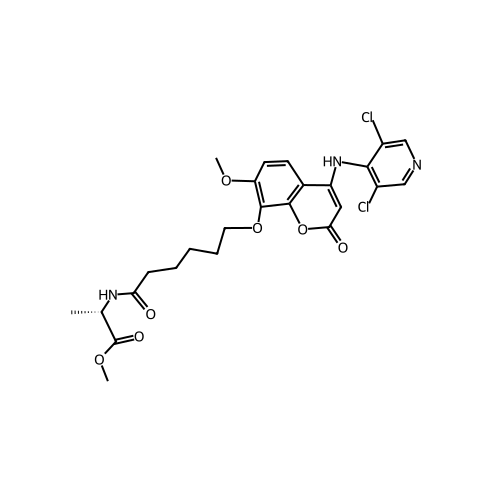 COC(=O)[C@H](C)NC(=O)CCCCCOc1c(OC)ccc2c(Nc3c(Cl)cncc3Cl)cc(=O)oc12